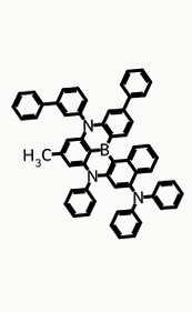 Cc1cc2c3c(c1)N(c1ccccc1)c1cc(N(c4ccccc4)c4ccccc4)c4ccccc4c1B3c1ccc(-c3ccccc3)cc1N2c1cccc(-c2ccccc2)c1